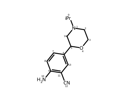 CC(C)N1CCOC(c2ccc(N)c(C#N)c2)C1